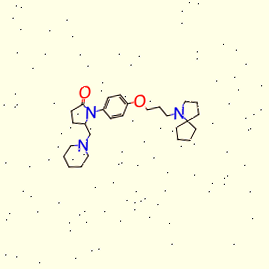 O=C1CCC(CN2CCCCC2)N1c1ccc(OCCCN2CCCC23CCCC3)cc1